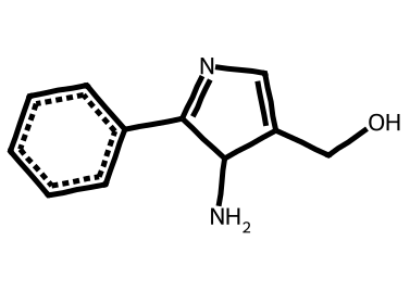 NC1C(CO)=CN=C1c1ccccc1